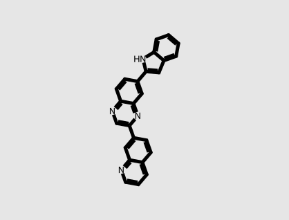 c1cnc2cc(-c3cnc4ccc(-c5cc6ccccc6[nH]5)cc4n3)ccc2c1